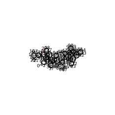 Cc1cc2c3c(c1)N(c1cc4c(cc1C)C(C)(C)CCC4(C)C)c1c(oc4ccccc14)B3n1c3c-2cccc3c2oc3cc(Cc4cc5c6c(c4)N(c4cc7c(cc4C)C(C)(C)CCC7(C)C)c4c(oc7ccccc47)B6n4c6oc7ccccc7c6c6cccc-5c64)ccc3c21